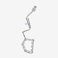 N#C/C=C/Cc1cccs1